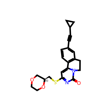 O=c1nc(SC[C@@H]2COCCO2)cc2n1CCc1cc(C#CC3CC3)ccc1-2